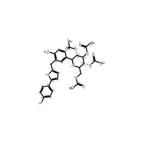 Cc1ccc(C2OC(COC(=O)C(C)(C)C)[C@@H](OC(=O)C(C)(C)C)C(OC(=O)C(C)(C)C)[C@H]2OC(=O)C(C)(C)C)cc1Cc1ccc(-c2ccc(F)cc2)s1